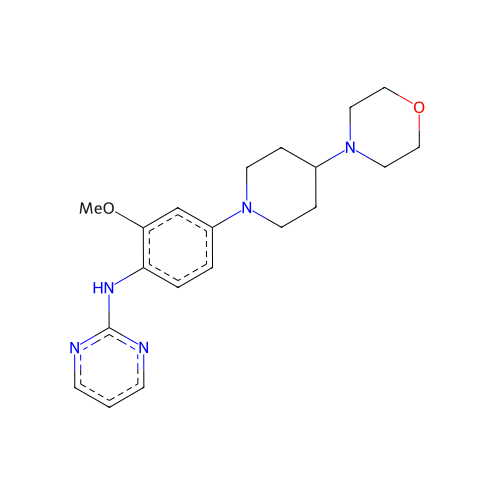 COc1cc(N2CCC(N3CCOCC3)CC2)ccc1Nc1ncccn1